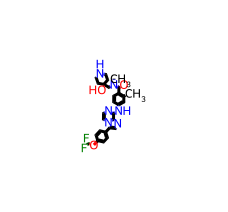 Cc1cc(Nc2nccn3c(-c4ccc(OC(F)F)cc4)cnc23)ccc1C(=O)N(C)CC1(O)CCNCC1